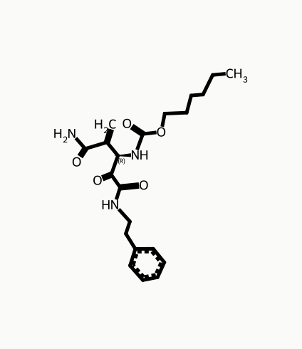 C=C(C(N)=O)[C@@H](NC(=O)OCCCCCC)C(=O)C(=O)NCCc1ccccc1